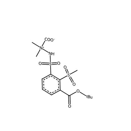 CC(C)(C)OC(=O)c1cccc(S(=O)(=O)N[N+](C)(C)C(=O)[O-])c1S(C)(=O)=O